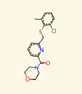 Cc1cccc(Cl)c1SCc1cccc(C(=O)N2CCOCC2)n1